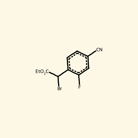 CCOC(=O)C(Br)c1ccc(C#N)cc1F